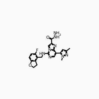 Cc1cc(-c2cnc(NCc3c(F)ccc4c3CCO4)n3cc(C(=O)NN)nc23)n(C)n1